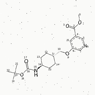 COC(=O)c1cncc(OC[C@H]2CC[C@H](NC(=O)OC(C)(C)C)CC2)c1